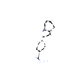 N=C(N)c1ccc(-c2cc3ccccc3[nH]2)cc1